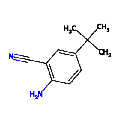 CC(C)(C)c1ccc(N)c(C#N)c1